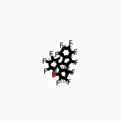 FC1=C(F)C(F)C(c2c(F)c(F)c(F)c(F)c2F)(C2C(F)=C(F)c3c(F)c(F)c(F)c(F)c32)C(F)=C1F